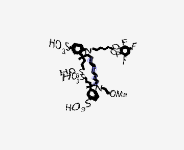 COCCN1/C(=C/C=C/C=C/C=C/C2=[N+](CCCCCC(=O)Oc3c(F)c(F)cc(F)c3F)c3ccc(S(=O)(=O)O)cc3C2(C)CCCS(=O)(=O)O)C(C)(CCCS(=O)(=O)O)c2cc(S(=O)(=O)O)ccc21